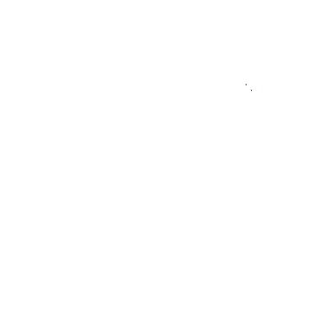 CC(Cc1ccccc1)Cc1ccc(NC(C)C)cc1